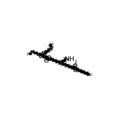 CC/C=C\CCCCOC(CCC(=O)OCCCCCCCN(CCCN)CCCCCCCC(=O)OCCCCCCCCC)OCCCC/C=C\CC